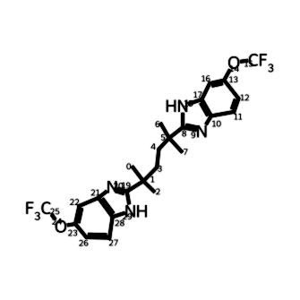 CC(C)(CCC(C)(C)c1nc2ccc(OC(F)(F)F)cc2[nH]1)c1nc2cc(OC(F)(F)F)ccc2[nH]1